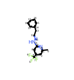 Cc1cc(C(F)(F)F)cc(N/N=C/Cc2ccccc2)n1